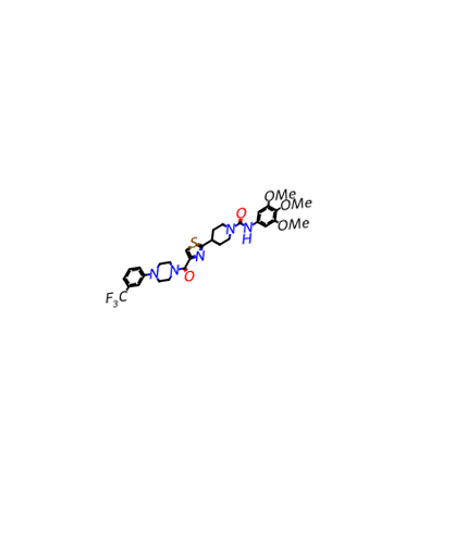 COc1cc(NC(=O)N2CCC(c3nc(C(=O)N4CCN(c5cccc(C(F)(F)F)c5)CC4)cs3)CC2)cc(OC)c1OC